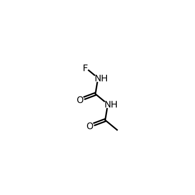 CC(=O)NC(=O)NF